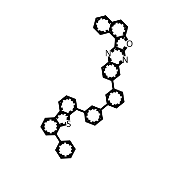 c1ccc(-c2cccc3c2sc2c(-c4cccc(-c5cccc(-c6ccc7nc8c(nc7c6)oc6ccc7ccccc7c68)c5)c4)cccc23)cc1